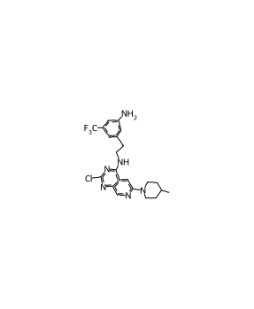 CC1CCN(c2cc3c(NCCc4cc(N)cc(C(F)(F)F)c4)nc(Cl)nc3cn2)CC1